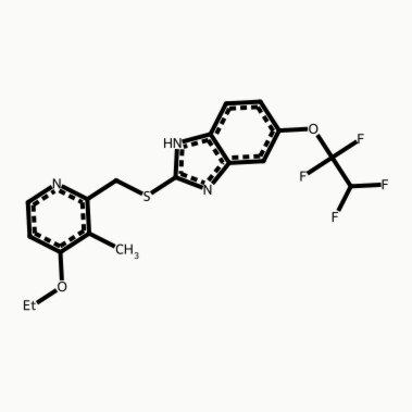 CCOc1ccnc(CSc2nc3cc(OC(F)(F)C(F)F)ccc3[nH]2)c1C